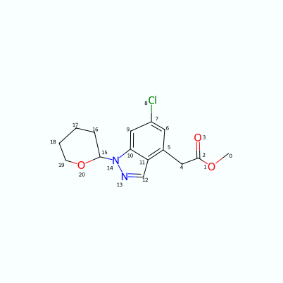 COC(=O)Cc1cc(Cl)cc2c1cnn2C1CCCCO1